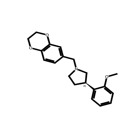 COc1ccccc1[C@H]1CCN(Cc2ccc3c(c2)OCCO3)C1